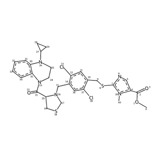 COC(=O)c1cnc(SCc2cc(Cl)c(CN3CSCC3C(=O)N3CCN(C4CC4)c4ccccc43)cc2Cl)n1C